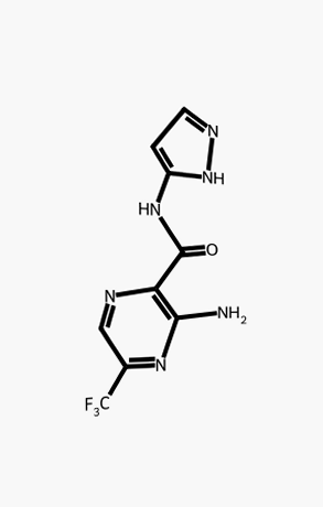 Nc1nc(C(F)(F)F)cnc1C(=O)Nc1ccn[nH]1